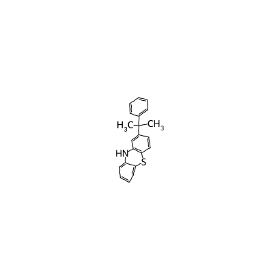 CC(C)(c1ccccc1)c1ccc2c(c1)Nc1ccccc1S2